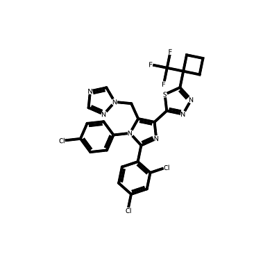 FC(F)(F)C1(c2nnc(-c3nc(-c4ccc(Cl)cc4Cl)n(-c4ccc(Cl)cc4)c3Cn3cncn3)s2)CCC1